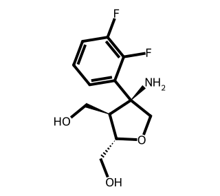 N[C@@]1(c2cccc(F)c2F)CO[C@H](CO)[C@H]1CO